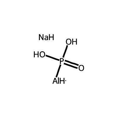 O=[P](O)(O)[AlH].[NaH]